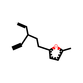 [CH]=CC(C#C)CCc1ccc(C)o1